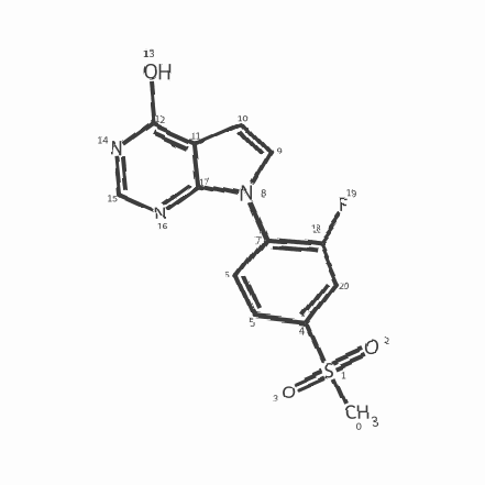 CS(=O)(=O)c1ccc(-n2ccc3c(O)ncnc32)c(F)c1